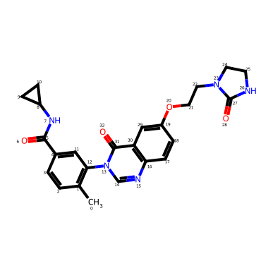 Cc1ccc(C(=O)NC2CC2)cc1-n1cnc2ccc(OCCN3CCNC3=O)cc2c1=O